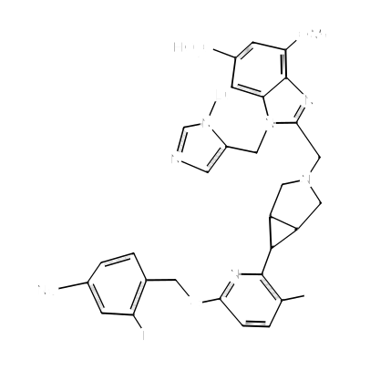 CCn1cncc1Cn1c(CN2CC3C(C2)C3c2nc(OCc3ccc(C#N)cc3F)ccc2F)nc2c(OC)cc(C(=O)O)cc21